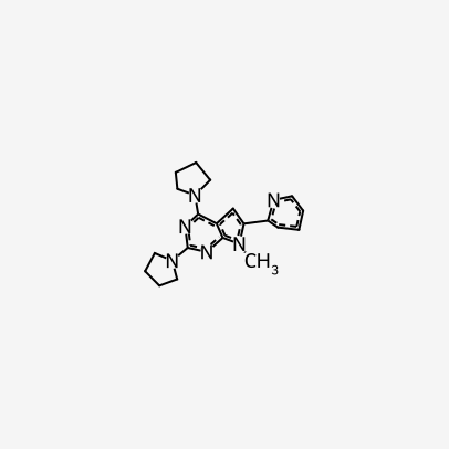 Cn1c(-c2ccccn2)cc2c(N3CCCC3)nc(N3CCCC3)nc21